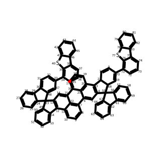 C1=CC2c3c(cc4c5cccc6c7c(cc(c8cccc3c84)c65)C3(c4ccccc4-c4ccc(-c5cccc6c5sc5ccccc56)cc43)c3ccccc3-7)C3(c4ccccc4-c4ccccc43)C2C=C1c1cccc2c1sc1ccccc12